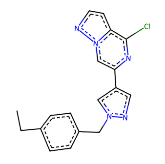 CCc1ccc(Cn2cc(-c3cn4nccc4c(Cl)n3)cn2)cc1